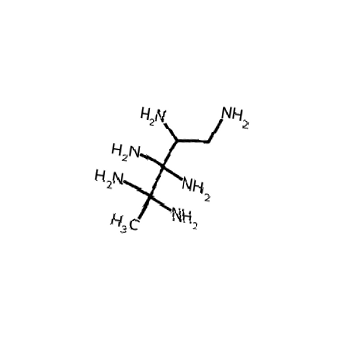 CC(N)(N)C(N)(N)C(N)CN